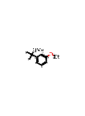 CCOc1cccc(C(C)(C)OC)c1